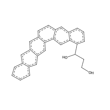 OCCC(O)c1cccc2cc3ccc4cc5cc6ccccc6cc5cc4c3cc12